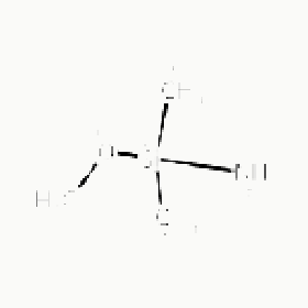 CO[Si](C)(C)[NH]